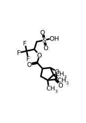 CC12CC(C(=O)OC(CS(=O)(=O)O)C(F)(F)F)C(OC1=O)C2(C)C